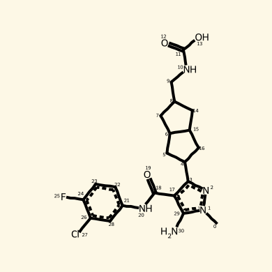 Cn1nc(C2CC3CC(CNC(=O)O)CC3C2)c(C(=O)Nc2ccc(F)c(Cl)c2)c1N